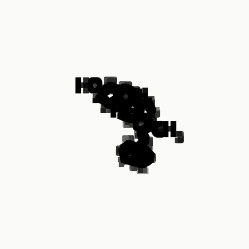 C[C@H](/C=C/C12CC3CC(CC(C3)C1)C2)[C@H]1CC[C@H]2[C@@H]3CC=C4C[C@@H](O)CC[C@]4(C)[C@H]3CC[C@]12C